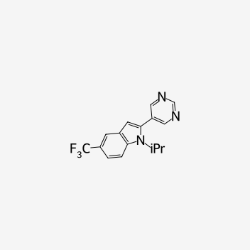 CC(C)n1c(-c2cncnc2)cc2cc(C(F)(F)F)ccc21